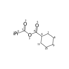 CC(C)C(=O)OC(=O)C1CCCCC1